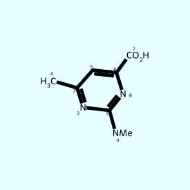 CNc1nc(C)cc(C(=O)O)n1